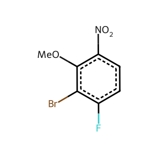 COc1c([N+](=O)[O-])ccc(F)c1Br